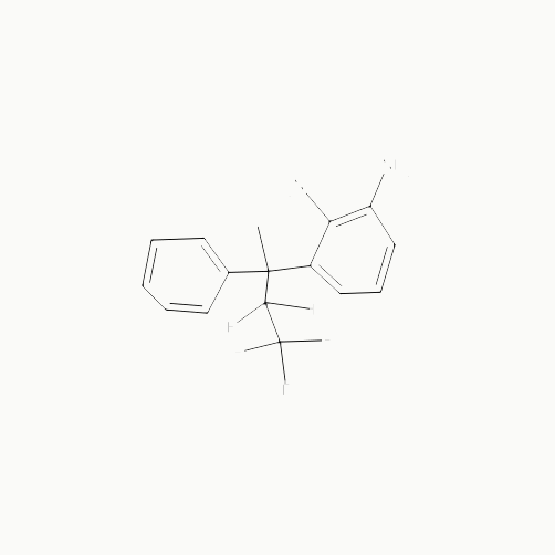 Nc1cccc(C(F)(c2ccccc2)C(F)(F)C(F)(F)F)c1N